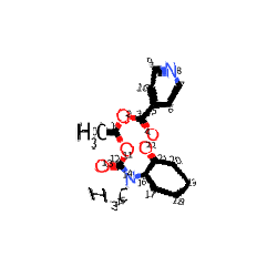 CC(OC(=O)c1ccncc1)OC(=O)N(C)C1CCCCC1=O